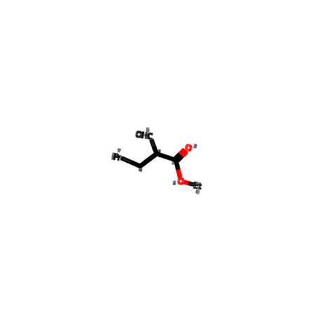 CCOC(=O)C(C=O)CC(C)C